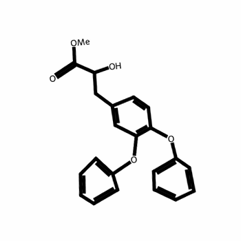 COC(=O)C(O)Cc1ccc(Oc2ccccc2)c(Oc2ccccc2)c1